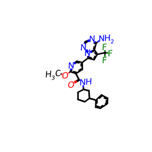 COc1ncc(-c2cc(C(F)(F)F)c3c(N)ncnn23)cc1C(=O)NC1CCCC(c2ccccc2)C1